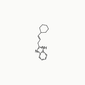 C(=CC1CCCCC1)Cc1nc2ccccc2[nH]1